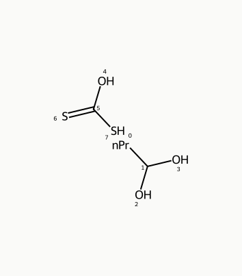 CCCC(O)O.OC(=S)S